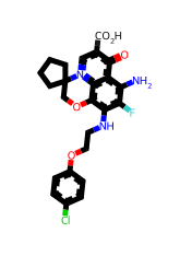 Nc1c(F)c(NCCOc2ccc(Cl)cc2)c2c3c1c(=O)c(C(=O)O)cn3C1(CCCC1)CO2